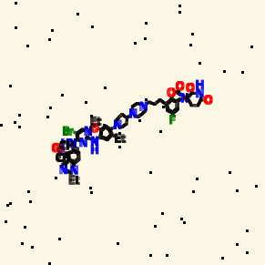 CCOc1cc(N2CCC(N3CCN(CCCc4cc(F)cc5c4oc(=O)n5C4CCC(=O)NC4=O)CC3)CC2)c(CC)cc1Nc1ncc(Br)c(Nc2ccc3nc(CC)ncc3c2P(C)(C)=O)n1